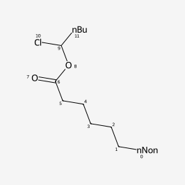 CCCCCCCCCCCCCCC(=O)OC(Cl)CCCC